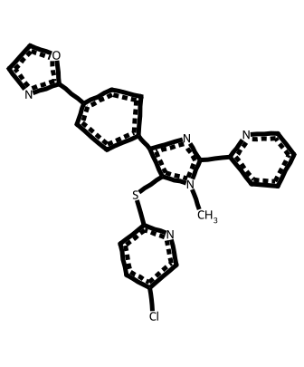 Cn1c(-c2ccccn2)nc(-c2ccc(-c3ncco3)cc2)c1Sc1ccc(Cl)cn1